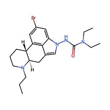 CCCN1CCC[C@@H]2c3cc(Br)cc4c3c(cn4NC(=O)N(CC)CC)C[C@H]21